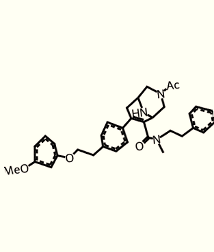 COc1cccc(OCCc2ccc(C3=C(C(=O)N(C)CCc4ccccc4)C4CN(C(C)=O)CC(C3)N4)cc2)c1